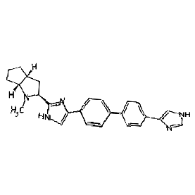 CN1[C@@H]2CCC[C@@H]2C[C@H]1c1nc(-c2ccc(-c3ccc(-c4c[nH]cn4)cc3)cc2)c[nH]1